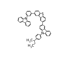 CCC(C)c1ccc(-n2c3ccccc3c3cc(-c4ccc5sc6ccc(-c7cccc(-n8c9ccccc9c9ccccc98)c7)cc6c5c4)ccc32)cc1